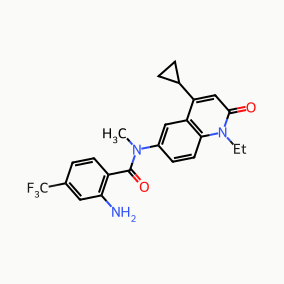 CCn1c(=O)cc(C2CC2)c2cc(N(C)C(=O)c3ccc(C(F)(F)F)cc3N)ccc21